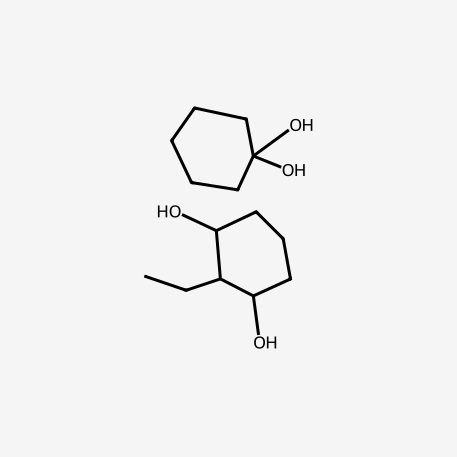 CCC1C(O)CCCC1O.OC1(O)CCCCC1